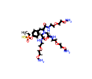 CCP(=O)(S)Oc1ccc(CC(C(=O)NCCOCCON)N(CC(=O)NCCOCCON)CC(=O)NCCOCCON)cc1